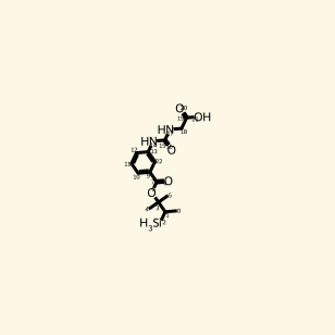 CC([SiH3])C(C)(C)OC(=O)c1cccc(NC(=O)NCC(=O)O)c1